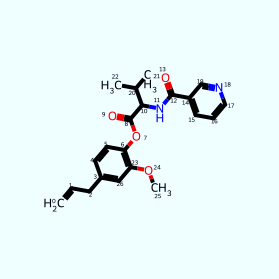 C=CCc1ccc(OC(=O)C(NC(=O)c2cccnc2)C(C)C)c(OC)c1